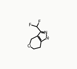 FC(F)C1=N[N]C2=C1COCC2